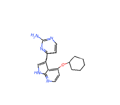 Nc1nccc(-c2c[nH]c3nccc(OC4CCCCC4)c23)n1